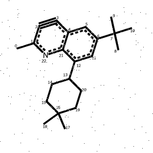 Cc1c#cc2cc(C(C)(C)C)cc(C3CCC(C)(C)CC3)c2n1